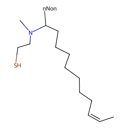 C/C=C\CCCCCCCC(CCCCCCCCC)N(C)CCS